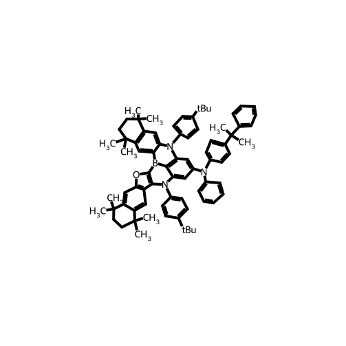 CC(C)(C)c1ccc(N2c3cc4c(cc3B3c5oc6cc7c(cc6c5N(c5ccc(C(C)(C)C)cc5)c5cc(N(c6ccccc6)c6ccc(C(C)(C)c8ccccc8)cc6)cc2c53)C(C)(C)CCC7(C)C)C(C)(C)CCC4(C)C)cc1